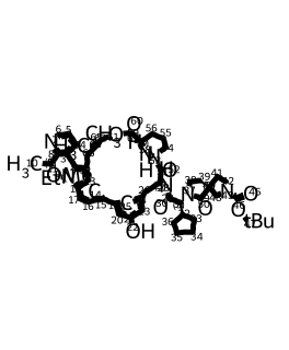 CCn1c(-c2cccnc2[C@H](C)OC)c2c3cc(ccc31)-c1cc(O)cc(c1)C[C@H](NC(=O)[C@H](C1CCCC1)N1CC[C@]3(CCN(C(=O)OC(C)(C)C)C3)C1=O)C(=O)N1CCC[C@H](N1)C(=O)OCC(C)(C)C2